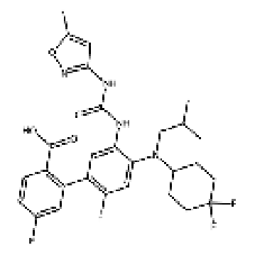 Cc1cc(NC(=O)Nc2cc(-c3cc(F)ccc3C(=O)O)c(F)cc2N(CC(C)C)C2CCC(F)(F)CC2)no1